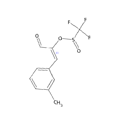 Cc1cccc(/C=C(\C=O)OS(=O)C(F)(F)F)c1